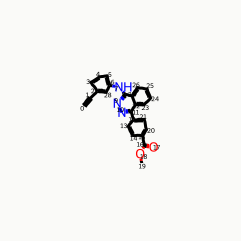 C#Cc1cccc(Nc2nnc(-c3ccc(C(=O)OC)cc3)c3ccccc23)c1